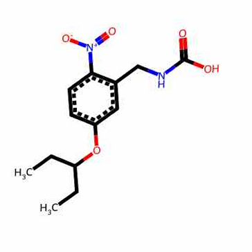 CCC(CC)Oc1ccc([N+](=O)[O-])c(CNC(=O)O)c1